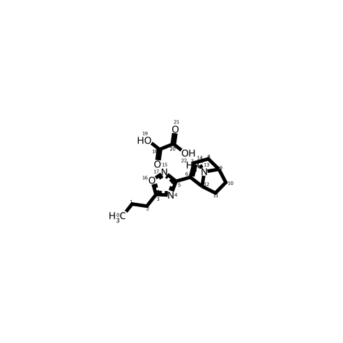 CCCc1nc(C2=CCC3CCC2N3C)no1.O=C(O)C(=O)O